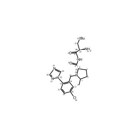 CC1CC[C@@H](C(=O)NC(=O)[C@H](N)CC(C)(C)C)N1Cc1cc(Cl)ccc1-n1cncn1